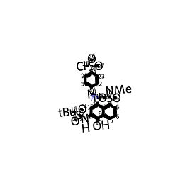 CNS(=O)(=O)c1cccc2c(O)c(NS(=O)(=O)C(C)(C)C)cc(/N=N/c3ccc(S(=O)(=O)Cl)cc3)c12